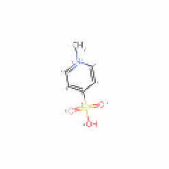 C[n+]1ccc(S(=O)(=O)O)cc1